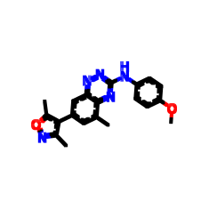 COc1ccc(Nc2nnc3cc(-c4c(C)noc4C)cc(C)c3n2)cc1